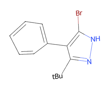 CC(C)(C)c1n[nH]c(Br)c1-c1ccccc1